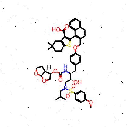 COc1ccc(S(=O)(=O)N(CC(C)C)C[C@@H](O)[C@H](Cc2ccc(OCc3ccc4ccccc4c3-c3sc4c(c3C(=O)O)CC(C)(C)CC4)cc2)NC(=O)O[C@H]2CO[C@@]3(C)OCC[C@@H]23)cc1